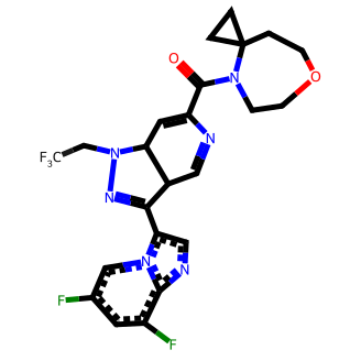 O=C(C1=CC2C(C=N1)C(c1cnc3c(F)cc(F)cn13)=NN2CC(F)(F)F)N1CCOCCC12CC2